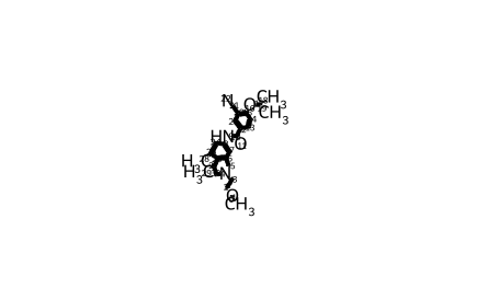 COCCN1Cc2cc(NC(=O)c3ccc(OC(C)C)c(C#N)c3)ccc2C(C)(C)C1